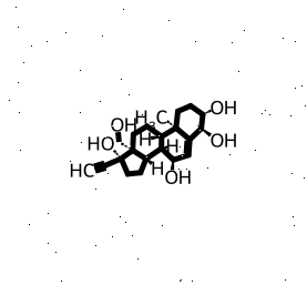 C#C[C@]1(O)CC[C@H]2[C@@H]3[C@H](O)C=C4[C@H](O)[C@@H](O)CC[C@]4(C)[C@H]3CC[C@@]21CO